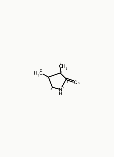 CC1CNC(=O)C1C